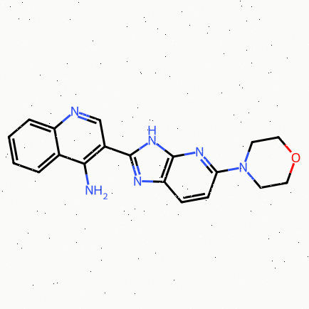 Nc1c(-c2nc3ccc(N4CCOCC4)nc3[nH]2)cnc2ccccc12